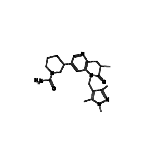 Cc1nn(C)c(C)c1CN1C(=O)C(C)Cc2ncc(C3CCCN(C(N)=O)C3)cc21